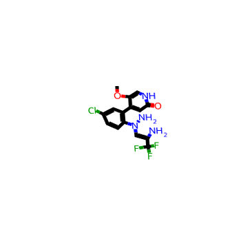 COc1c[nH]c(=O)cc1-c1cc(Cl)ccc1N(N)/C=C(\N)C(F)(F)F